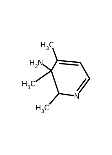 CC1=CC=NC(C)C1(C)N